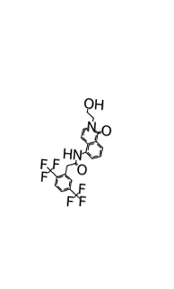 O=C(Cc1cc(C(F)(F)F)ccc1C(F)(F)F)Nc1cccc2c(=O)n(CCO)ccc12